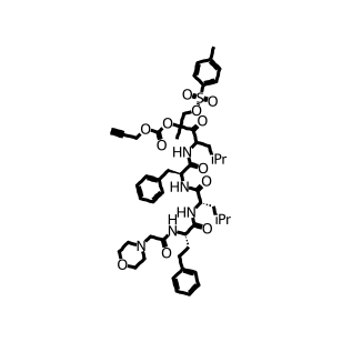 C#CCOC(=O)OC(C)(COS(=O)(=O)c1ccc(C)cc1)C(=O)C(CC(C)C)NC(=O)[C@H](Cc1ccccc1)NC(=O)[C@H](CC(C)C)NC(=O)[C@H](CCc1ccccc1)NC(=O)CN1CCOCC1